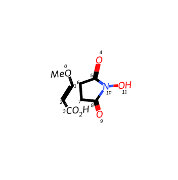 COC=CC(=O)O.O=C1CCC(=O)N1O